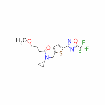 COCCCC(=O)N(Cc1ccc(-c2noc(C(F)(F)F)n2)s1)C1CC1